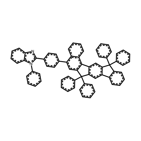 c1ccc(-n2c(-c3ccc(-c4cc5c(c6ccccc46)-c4cc6c(cc4C5(c4ccccc4)c4ccccc4)-c4ccccc4C6(c4ccccc4)c4ccccc4)cc3)nc3ccccc32)cc1